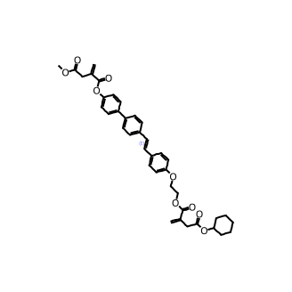 C=C(CC(=O)OC1CCCCC1)C(=O)OCCOc1ccc(/C=C/c2ccc(-c3ccc(OC(=O)C(=C)CC(=O)OC)cc3)cc2)cc1